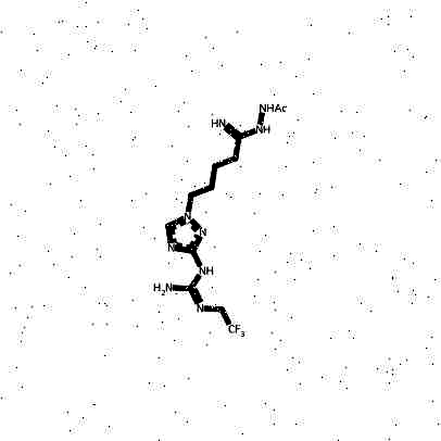 CC(=O)NNC(=N)CCCCn1cnc(N/C(N)=N\CC(F)(F)F)n1